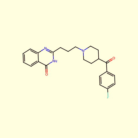 O=C(c1ccc(F)cc1)C1CCN(CCCc2nc3ccccc3c(=O)[nH]2)CC1